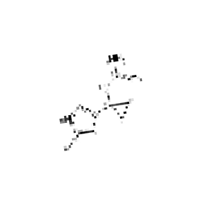 Cn1cc(C2(OC(N)=O)CC2)cn1